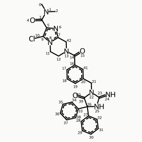 CN(C)C(=O)c1nc2n(c1Cl)CCN(C(=O)c1cccc(CN3C(=N)NC(c4ccccc4)(c4ccccc4)C3=O)c1)C2